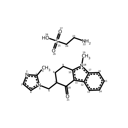 Cc1nccn1CC1CCc2c(c3ccccc3n2C)C1=O.NCCS(=O)(=O)O